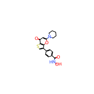 O=C(NO)c1ccc(-c2csc3c(=O)cc(N4CCCCC4)oc23)cc1